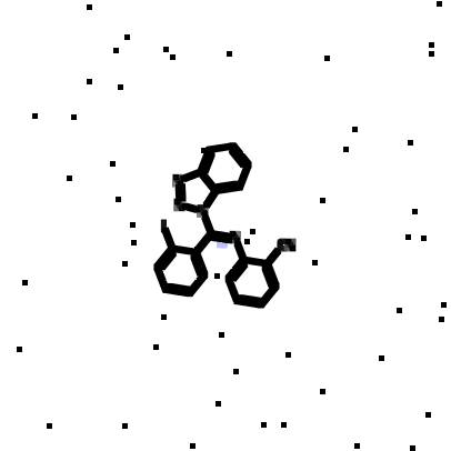 N#Cc1ccccc1/N=C(\c1ccccc1I)n1nnc2ccccc21